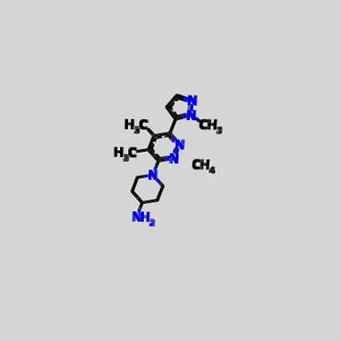 C.Cc1c(-c2ccnn2C)nnc(N2CCC(N)CC2)c1C